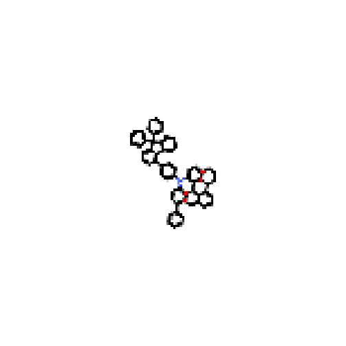 c1ccc(-c2ccc(N(c3ccc(-c4cccc5c4-c4ccccc4C5(c4ccccc4)c4ccccc4)cc3)c3ccccc3-c3cccc4cccc(C5CCCCC5)c34)cc2)cc1